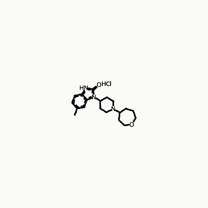 Cc1ccc2[nH]c(=O)n(C3CCN(C4CCCOCC4)CC3)c2c1.Cl